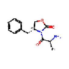 C[C](C)C(N)C(=O)N1C(=O)OC[C@H]1Cc1ccccc1